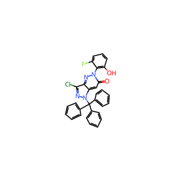 O=c1cc2c(nn1-c1c(O)cccc1F)c(Cl)nn2C(c1ccccc1)(c1ccccc1)c1ccccc1